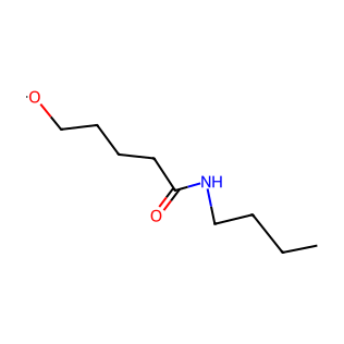 CCCCNC(=O)CCCC[O]